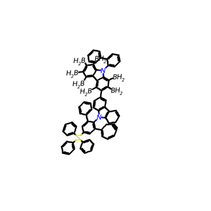 Bc1c(B)c(B)c2c(c1B)c1c(B)c(-c3ccc4c(c3)c3c(n4-c4c(C5=CC=CC#CC5)cc(S(c5ccccc5)(c5ccccc5)c5ccccc5)cc4-c4ccccc4)CCC=C3)c(B)c(B)c1n2-c1ccccc1-c1ccccc1